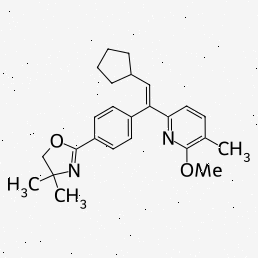 COc1nc(C(=CC2CCCC2)c2ccc(C3=NC(C)(C)CO3)cc2)ccc1C